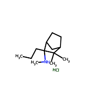 CCCC1(NC)C2CCC(C2)C1(C)C.Cl